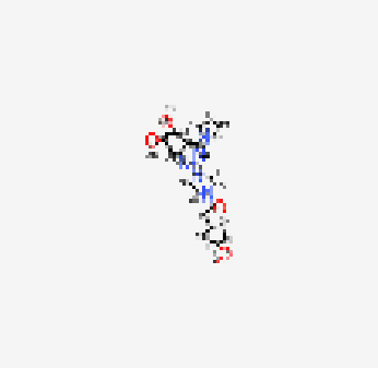 COC1=CC=C(CC(=O)N2CCN(c3nc(N4CCCC4)c4cc(OC)c(OC)cc4n3)CC2)CC1